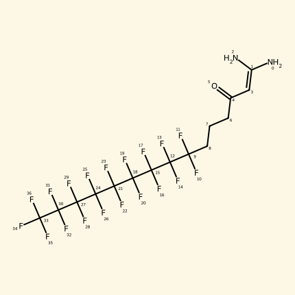 NC(N)=CC(=O)CCCC(F)(F)C(F)(F)C(F)(F)C(F)(F)C(F)(F)C(F)(F)C(F)(F)C(F)(F)C(F)(F)F